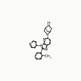 Cc1ccccc1-c1nc2ccc(N3CC4CC3CN4)nc2n1-c1ccncc1